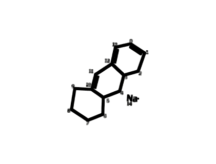 C1=CCC2CC3CCCCC3=CC2=C1.[Na]